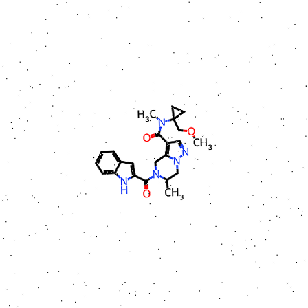 COCC1(N(C)C(=O)c2cnn3c2CN(C(=O)c2cc4ccccc4[nH]2)C(C)C3)CC1